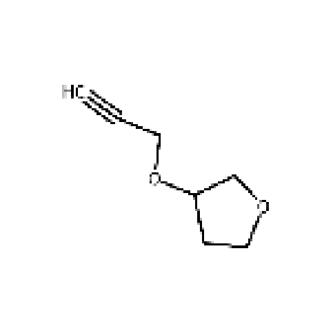 C#CCOC1CCOC1